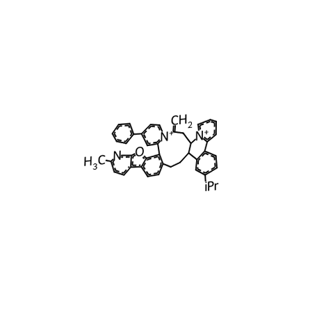 C=C1CC2C(CCc3ccc4c(oc5nc(C)ccc54)c3-c3cc(-c4ccccc4)cc[n+]31)c1cc(C(C)C)ccc1-c1cccc[n+]12